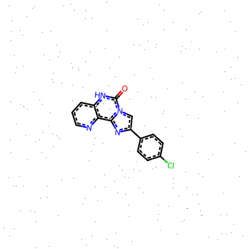 O=c1[nH]c2cccnc2c2nc(-c3ccc(Cl)cc3)cn12